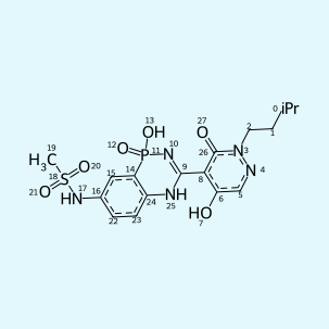 CC(C)CCn1ncc(O)c(C2=NP(=O)(O)c3cc(NS(C)(=O)=O)ccc3N2)c1=O